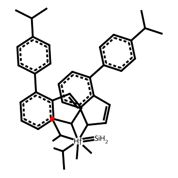 CC(C)c1ccc(-c2cccc3c2C=C[CH]3[Hf]([CH3])([CH3])(=[SiH2])([CH](C)C)([CH](C)C)[CH]2C=Cc3c(-c4ccc(C(C)C)cc4)cccc32)cc1